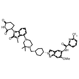 COc1cc2nn([C@H]3CC[C@H](CN4CCN(c5cccc6c5n(C)c(=O)n6C5CCC(=O)NC5=O)CC4(C)C)CC3)cc2cc1NC(=O)c1cccc(C(F)(F)F)n1